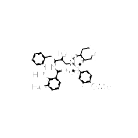 COc1ccc(S(=O)(=O)N(CC(O)[C@H](Cc2ccccc2)NC(=O)c2cccc(O)c2C)OC2CCOCC2)cc1